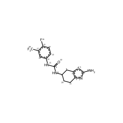 Nc1nc2c(s1)CC(NC(=O)Nc1ccc(F)c(C(F)(F)F)c1)CC2